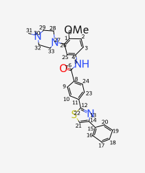 COc1ccc(NC(=O)c2ccc(-c3nc(-c4ccccc4)cs3)cc2)cc1N1CCN(C)CC1